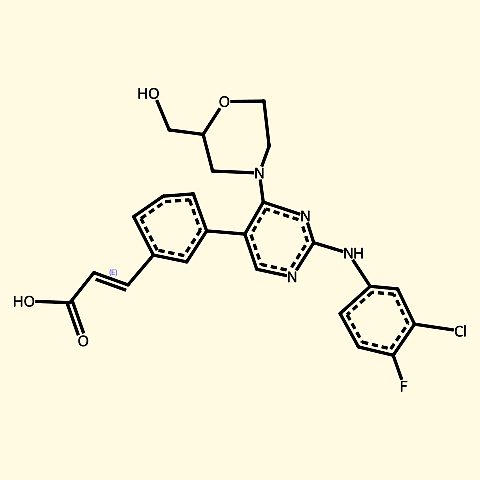 O=C(O)/C=C/c1cccc(-c2cnc(Nc3ccc(F)c(Cl)c3)nc2N2CCOC(CO)C2)c1